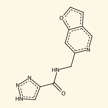 O=C(NCc1cc2occc2cn1)c1c[nH]nn1